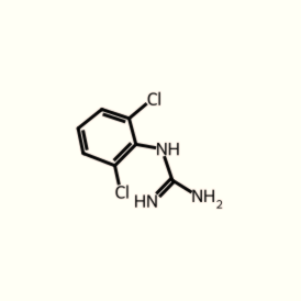 N=C(N)Nc1c(Cl)cccc1Cl